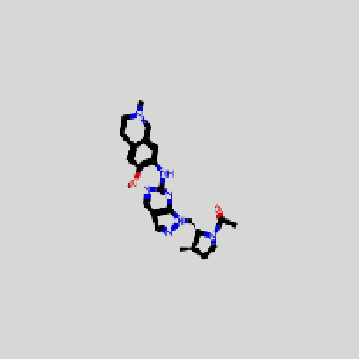 COc1cc2c(cc1Nc1ncc3cnn(C[C@H]4[C@H](C)CCN4C(C)=O)c3n1)CN(C)CC2